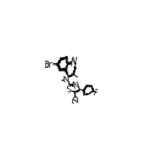 Cc1cnc2ccc(Br)cc2c1N(C)c1nc(-c2ccc(F)cc2)c(C#N)s1